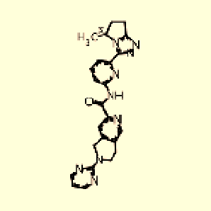 C[C@H]1CCc2nnc(-c3cccc(NC(=O)c4cc5c(cn4)CCN(c4ncccn4)C5)n3)n21